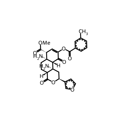 COC(=O)[C@@H]1C=C(OC(=O)c2cccc(C)c2)C(=O)[C@H]2[C@@]1(N)CC[C@H]1C(=O)O[C@H](c3ccoc3)C[C@]21N